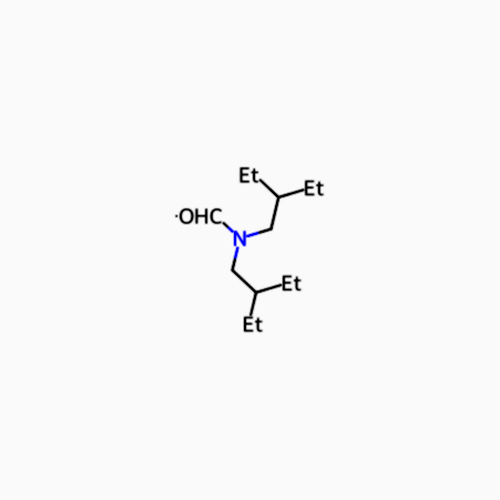 CCC(CC)CN([C]=O)CC(CC)CC